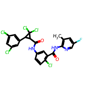 Cc1cc(F)cnc1NC(=O)c1cc(NC(=O)C2C(c3cc(Cl)cc(Cl)c3)C2(Cl)Cl)ccc1Cl